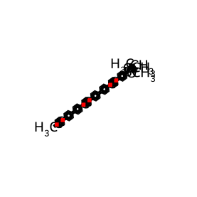 CC12CCC(c3ccc(-c4ccc(C56CCC(c7ccc(-c8ccc(C9%10CCC(c%11ccc(B%12OC(C)(C)C(C)(C)O%12)cc%11)(CC9)CC%10)cc8)cc7)(CC5)CC6)cc4)cc3)(CC1)CC2